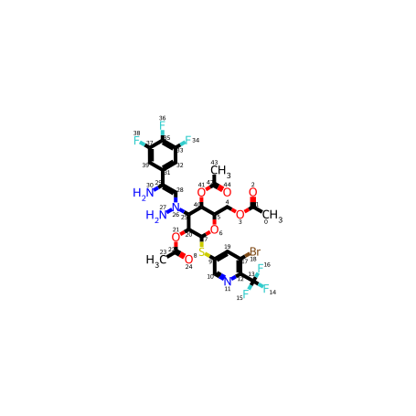 CC(=O)OCC1OC(Sc2cnc(C(F)(F)F)c(Br)c2)C(OC(C)=O)C(N(N)/C=C(\N)c2cc(F)c(F)c(F)c2)C1OC(C)=O